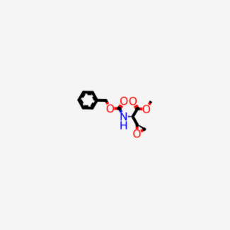 COC(=O)[C@@H](NC(=O)OCc1ccccc1)[C@H]1CO1